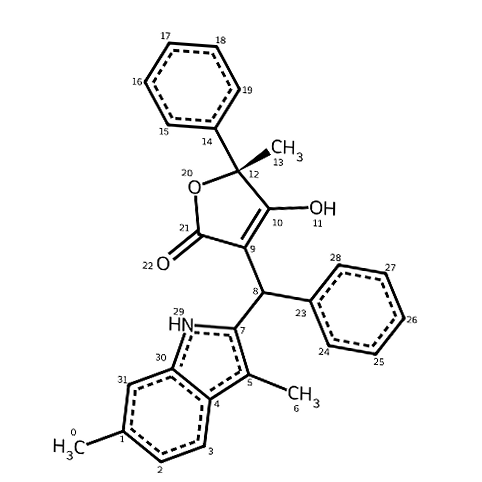 Cc1ccc2c(C)c(C(C3=C(O)[C@@](C)(c4ccccc4)OC3=O)c3ccccc3)[nH]c2c1